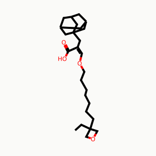 CCC1(CCCCCCCOC=C(CC23CC4CC(CC(C4)C2)C3)C(=O)O)COC1